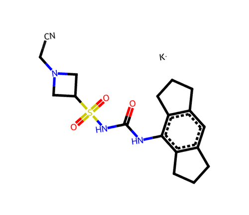 N#CCN1CC(S(=O)(=O)NC(=O)Nc2c3c(cc4c2CCC4)CCC3)C1.[K]